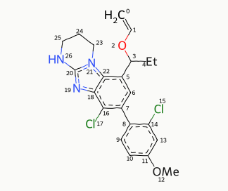 C=COC(CC)c1cc(-c2ccc(OC)cc2Cl)c(Cl)c2nc3n(c12)CCCN3